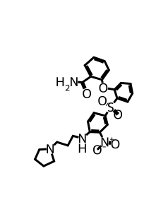 NC(=O)c1ccccc1Oc1ccccc1S(=O)(=O)c1ccc(NCCCN2CCCC2)c([N+](=O)[O-])c1